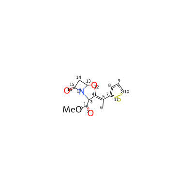 COC(=O)C1C(=C(C)c2cccs2)OC2CC(=O)N21